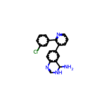 NC1NC=Nc2ccc(-c3cccnc3-c3cccc(Cl)c3)cc21